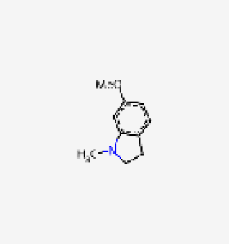 COc1ccc2c(c1)N(C)CC2